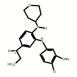 CC[C@H](CC(=O)O)c1ccc(N(CC)C2CCOCC2)c(Nc2ccc(Cl)c(OC)c2)c1